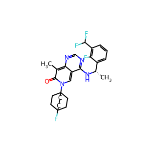 Cc1c(=O)n(C23CCC(F)(CC2)CC3)cc2c(N[C@@H](C)c3cccc(C(F)F)c3F)ncnc12